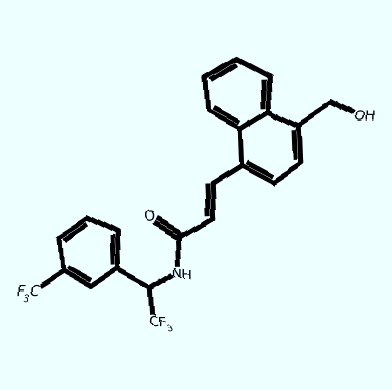 O=C(/C=C/c1ccc(CO)c2ccccc12)NC(c1cccc(C(F)(F)F)c1)C(F)(F)F